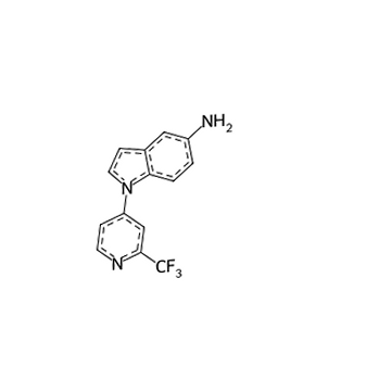 Nc1ccc2c(ccn2-c2ccnc(C(F)(F)F)c2)c1